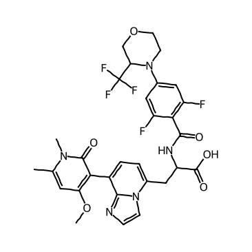 COc1cc(C)n(C)c(=O)c1-c1ccc(CC(NC(=O)c2c(F)cc(N3CCOCC3C(F)(F)F)cc2F)C(=O)O)n2ccnc12